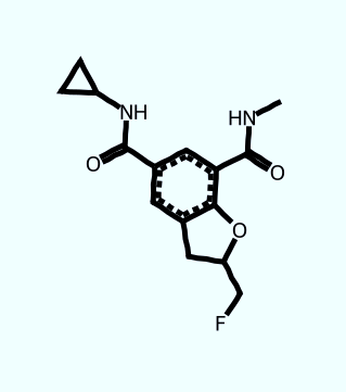 CNC(=O)c1cc(C(=O)NC2CC2)cc2c1OC(CF)C2